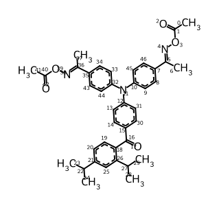 CC(=O)ON=C(C)c1ccc(N(c2ccc(C(=O)c3ccc(C(C)C)cc3C(C)C)cc2)c2ccc(/C(C)=N/OC(C)=O)cc2)cc1